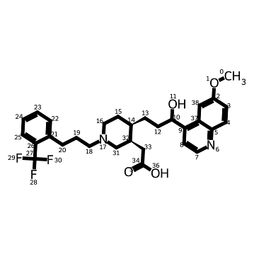 COc1ccc2nccc(C(O)CC[C@@H]3CCN(CCCc4ccccc4C(F)(F)F)C[C@@H]3CC(=O)O)c2c1